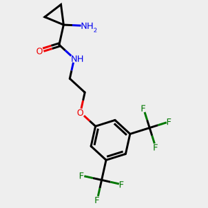 NC1(C(=O)NCCOc2cc(C(F)(F)F)cc(C(F)(F)F)c2)CC1